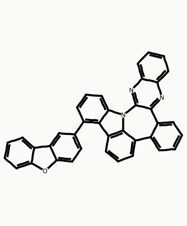 c1ccc2c(c1)-c1nc3ccccc3nc1-n1c3cccc(-c4ccc5oc6ccccc6c5c4)c3c3cccc-2c31